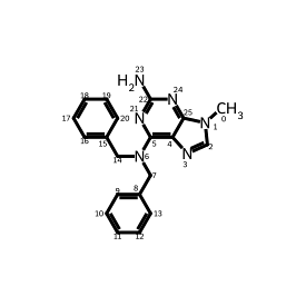 Cn1cnc2c(N(Cc3ccccc3)Cc3ccccc3)nc(N)nc21